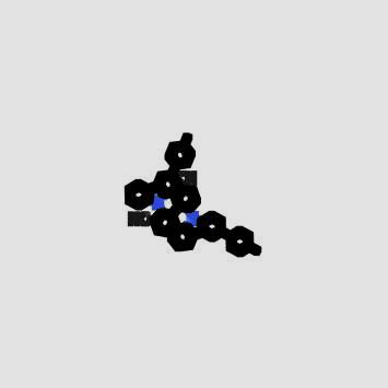 Cc1ccc(-c2ccc3c(c2)c2ccccc2n3-c2ccc(C#N)cc2-c2cccc(C#N)c2-n2c3ccccc3c3cc(-c4ccc(C)cc4)ccc32)cc1